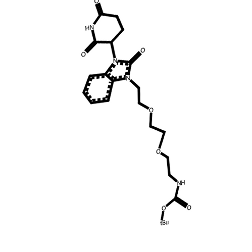 CC(C)(C)OC(=O)NCCOCCOCCn1c(=O)n(C2CCC(=O)NC2=O)c2ccccc21